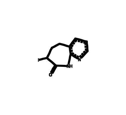 O=C1Nc2ncccc2CCC1I